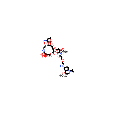 CC[C@H]1OC(=O)[C@H](C)[C@@H](O[C@H]2C[C@@](O)(OC)[C@H](NC(=O)CCOCCNc3cc4c(=O)c(C(=O)O)cn(C5CC5)c4cc3Cl)[C@H](C)O2)[C@H](C)[C@@H](O[C@@H]2O[C@H](C)C[C@H](N(C)C)[C@H]2O)[C@](C)(O)C[C@@H](C)CN(C)[C@H](C)C(O)(O)[C@]1(C)O